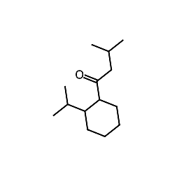 CC(C)CC(=O)C1CCCCC1C(C)C